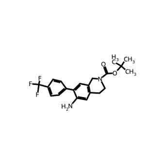 CC(C)(C)OC(=O)N1CCc2cc(N)c(-c3ccc(C(F)(F)F)cc3)cc2C1